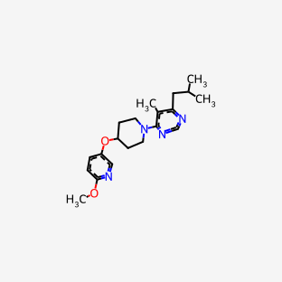 COc1ccc(OC2CCN(c3ncnc(CC(C)C)c3C)CC2)cn1